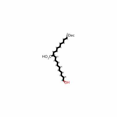 CCCCCCCCCCCCCCCCCCC(CCCCCCCCCCO)C(=O)O